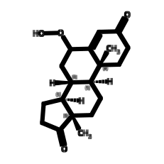 C[C@]12CCC(=O)C=C1C(OO)C[C@@H]1[C@@H]2CC[C@]2(C)C(=O)CC[C@@H]12